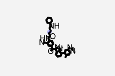 Cc1cc2c(cc1-c1cccc3c(C(=O)c4ccc(NC(=O)/C=C/CNC5CCCCC5)c(C#N)c4)nn(C)c13)ncn2C